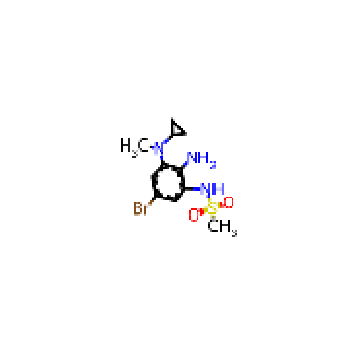 CN(c1cc(Br)cc(NS(C)(=O)=O)c1N)C1CC1